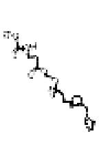 CC(C)(C)OC(=O)NCCC(=O)OCOC(=O)/C=C/c1ccc(Cn2ccnc2)cc1